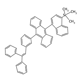 C[Si](C)(C)c1ccc(-c2c3ccccc3c(-c3cccc(C=C(c4ccccc4)c4ccccc4)c3)c3ccccc23)c2ccccc12